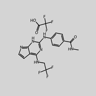 CNC(=O)c1ccc(Nc2nc(NCC(F)(F)F)c3ccnc-3[nH]2)cc1.O=C(O)C(F)(F)F